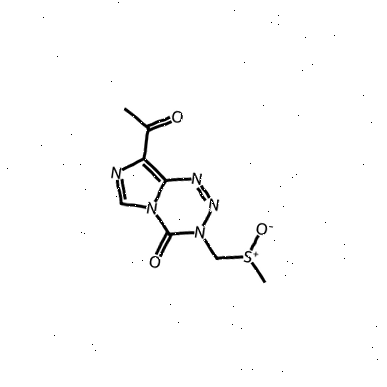 CC(=O)c1ncn2c(=O)n(C[S+](C)[O-])nnc12